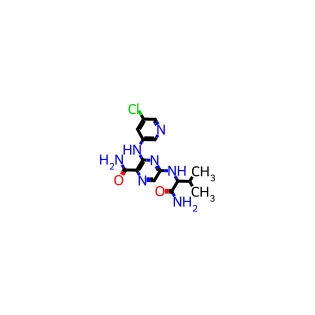 CC(C)C(Nc1cnc(C(N)=O)c(Nc2cncc(Cl)c2)n1)C(N)=O